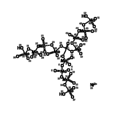 O=P([O][Mo](=[O])(=[O])[O][Mo](=[O])(=[O])[O][Mo](=[O])(=[O])[O][Mo](=[O])(=[O])[OH])([O][Mo](=[O])(=[O])[O][Mo](=[O])(=[O])[O][Mo](=[O])(=[O])[O][Mo](=[O])(=[O])[OH])[O][Mo](=[O])(=[O])[O][Mo](=[O])(=[O])[O][Mo](=[O])(=[O])[O][Mo](=[O])(=[O])[OH].[Ni+2]